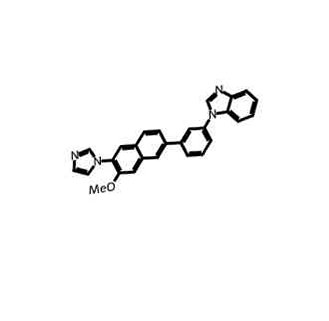 COc1cc2cc(-c3cccc(-n4cnc5ccccc54)c3)ccc2cc1-n1ccnc1